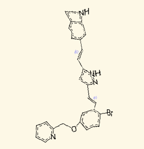 Brc1ccc(OCc2ccccn2)cc1/C=C/c1cc(/C=C/c2ccc3cc[nH]c3c2)[nH]n1